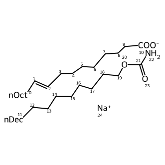 CCCCCCCCC=CCCCCCCCC(=O)[O-].CCCCCCCCCCCCCCCCCCOC(N)=O.[Na+]